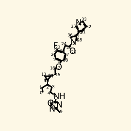 CCC(CCNc1nc(C)no1)[C@H]1C[C@H]1CCOC1=CCC(F)=C(CC(=O)N2CC(c3cccnc3)C2)C=C1